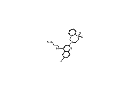 CNCCNc1cc(N2CCS(=O)(=O)c3ccccc3C2)nc2ccc(Cl)cc12